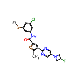 CCSc1cc(Cl)cc(NC(=O)c2cc(-c3ncc(N4CC(F)C4)cn3)c(C)s2)c1